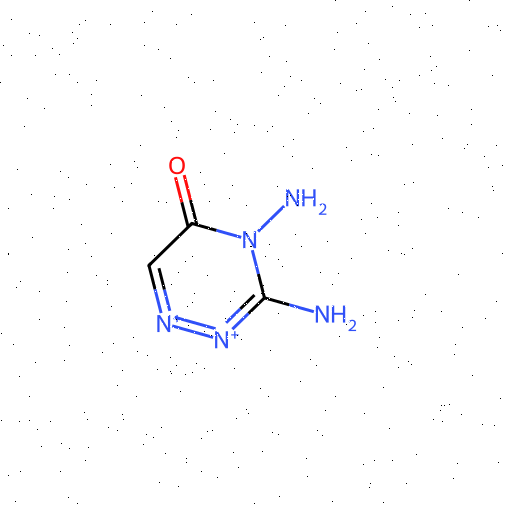 NC1=[N+]=[N+]=CC(=O)N1N